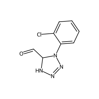 O=CC1NN=NN1c1ccccc1Cl